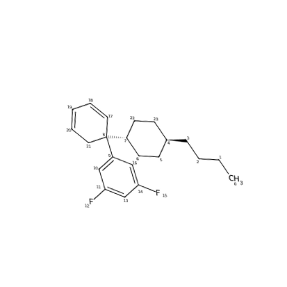 CCCC[C@H]1CC[C@H](C2(c3cc(F)cc(F)c3)C=CC=CC2)CC1